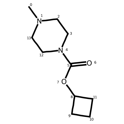 CN1CCN(C(=O)OC2CCC2)CC1